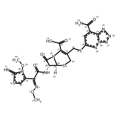 CON=C(C(=O)N[C@@H]1C(=O)N2C(C(=O)O)=C(CSc3cc(C(N)=O)c4nnnn4n3)CS[C@@H]12)c1csc(=N)n1OC